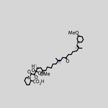 CO[C@H](CCCCC/C(C)=C/CC(=O)CCCC/C(C)=C/[C@@H]1CCC[C@H](OC)C1)C[C@@H](C)C(O)(O)C(=O)C(=O)N1CCCCC1C(=O)O